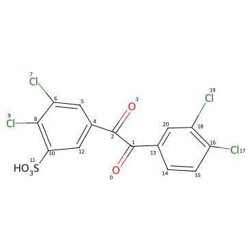 O=C(C(=O)c1cc(Cl)c(Cl)c(S(=O)(=O)O)c1)c1ccc(Cl)c(Cl)c1